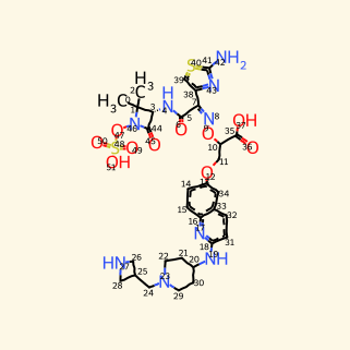 CC1(C)[C@H](NC(=O)/C(=N\OC(COc2ccc3nc(NC4CCN(CC5CNC5)CC4)ccc3c2)C(=O)O)c2csc(N)n2)C(=O)N1OS(=O)(=O)O